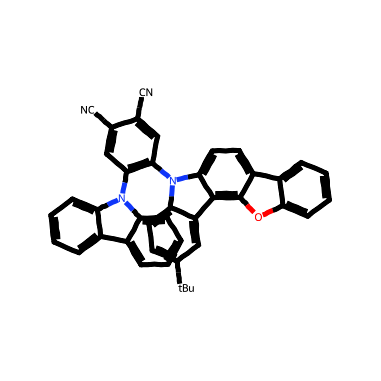 CC(C)(C)c1ccc2c(c1)c1c3oc4ccccc4c3ccc1n2-c1cc(C#N)c(C#N)cc1-n1c2ccccc2c2ccccc21